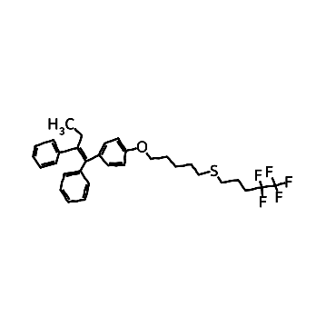 CCC(=C(c1ccccc1)c1ccc(OCCCCCSCCCC(F)(F)C(F)(F)F)cc1)c1ccccc1